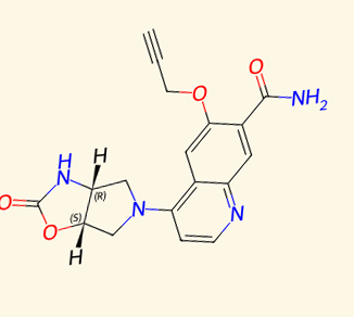 C#CCOc1cc2c(N3C[C@@H]4OC(=O)N[C@@H]4C3)ccnc2cc1C(N)=O